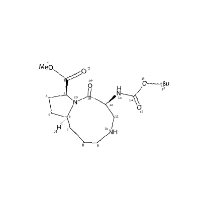 COC(=O)[C@@H]1CC[C@@H]2CCCNC[C@H](NC(=O)OC(C)(C)C)C(=O)N21